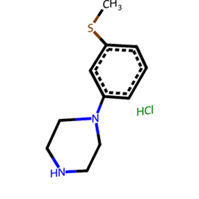 CSc1cccc(N2CCNCC2)c1.Cl